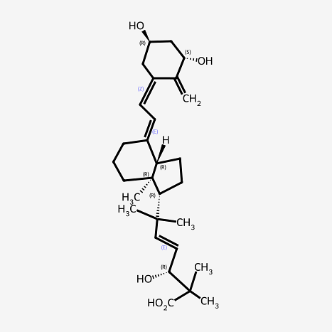 C=C1/C(=C\C=C2/CCC[C@]3(C)[C@@H](C(C)(C)/C=C/[C@@H](O)C(C)(C)C(=O)O)CC[C@@H]23)C[C@@H](O)C[C@@H]1O